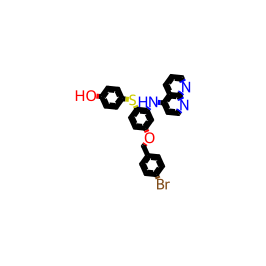 Oc1ccc(Sc2ccc(OCc3ccc(Br)cc3)cc2Nc2ccnc3ncccc23)cc1